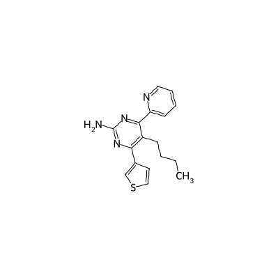 CCCCc1c(-c2ccsc2)nc(N)nc1-c1ccccn1